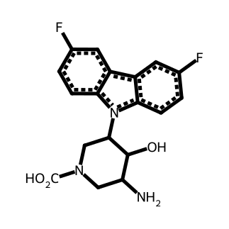 NC1CN(C(=O)O)CC(n2c3ccc(F)cc3c3cc(F)ccc32)C1O